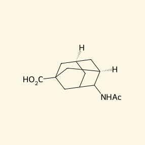 CC(=O)NC1C2C[C@@H]3C[C@@H]1CC(C(=O)O)(C2)C3